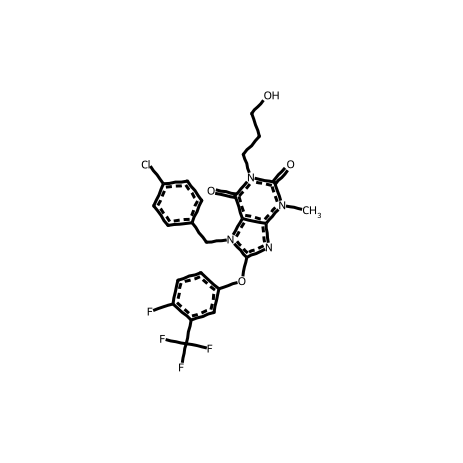 Cn1c(=O)n(CCCO)c(=O)c2c1nc(Oc1ccc(F)c(C(F)(F)F)c1)n2Cc1ccc(Cl)cc1